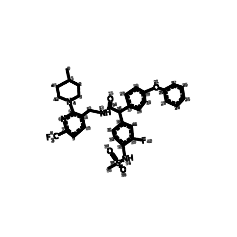 CC1CCN(c2nc(C(F)(F)F)ccc2CNC(=O)C(c2ccc(Oc3ccccc3)cc2)c2ccc(NS(C)(=O)=O)c(F)c2)CC1